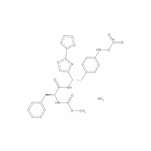 COC(=O)N[C@@H](Cc1ccccc1)C(=O)N[C@@H](Cc1ccc(NO[SH](=O)=O)cc1)c1csc(-c2cccs2)n1.N